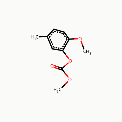 COC(=O)Oc1cc(C)ccc1OC